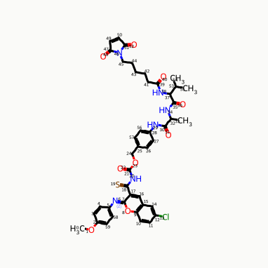 COc1ccc(/N=c2\oc3ccc(Cl)cc3cc2C(=S)NC(=O)OCc2ccc(NC(=O)C(C)NC(=O)C(NC(=O)CCCCCN3C(=O)C=CC3=O)C(C)C)cc2)cc1